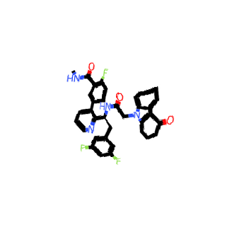 CNC(=O)c1cc(-c2cccnc2[C@H](Cc2cc(F)cc(F)c2)NC(=O)Cn2c3c(c4ccccc42)C(=O)CCC3)ccc1F